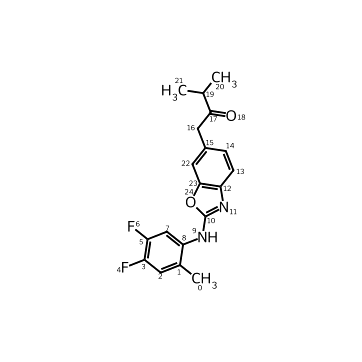 Cc1cc(F)c(F)cc1Nc1nc2ccc(CC(=O)C(C)C)cc2o1